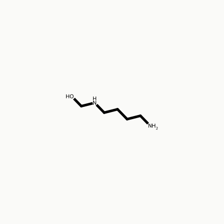 NCCCCNCO